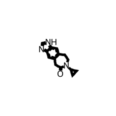 O=C1Cc2cc3nc[nH]c3cc2CCN1C1CC1